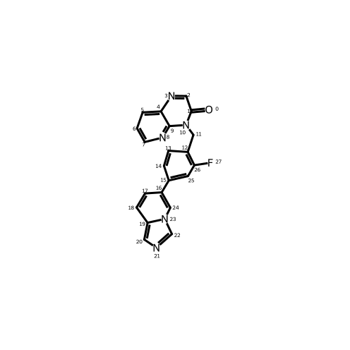 O=c1cnc2cccnc2n1Cc1ccc(-c2ccc3cncn3c2)cc1F